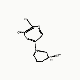 CN[C@H]1CCCN(c2cnc(Br)c(Cl)c2)C1